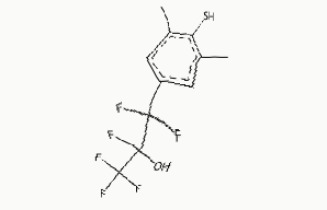 Cc1cc(C(F)(F)C(O)(F)C(F)(F)F)cc(C)c1S